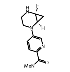 CNC(=O)c1ccc(N2CCN[C@H]3C[C@H]32)cn1